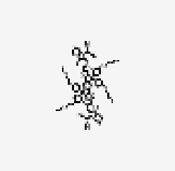 CCCCCCc1ccc(C2(c3ccc(CCCCCC)cc3)c3cc4c(cc3-c3sc5cc(/C=C6\C(=O)c7ccc(C)cc7C6=C(C#N)C#N)sc5c32)C(c2ccc(CCCCCC)cc2)(c2ccc(CCCCCC)cc2)c2c-4sc3cc(/C=C4\C(=O)c5ccc(C)cc5C4=C(C#N)C#N)sc23)cc1